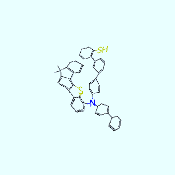 CC1(C)C2=C(C=CCC2)c2c1ccc1c2sc2c(N(c3ccc(-c4cccc(C5=C(S)CCC=C5)c4)cc3)C3C=CC(C4C=CC=CC4)=CC3)cccc21